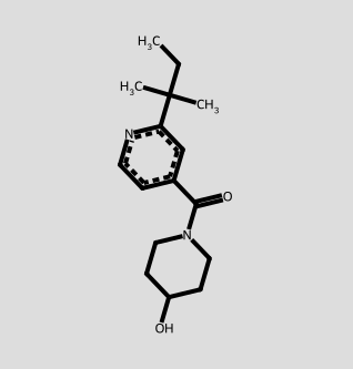 CCC(C)(C)c1cc(C(=O)N2CCC(O)CC2)ccn1